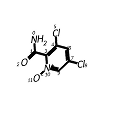 NC(=O)c1c(Cl)[c]c(Cl)c[n+]1[O-]